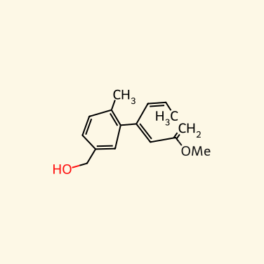 C=C(/C=C(\C=C/C)c1cc(CO)ccc1C)OC